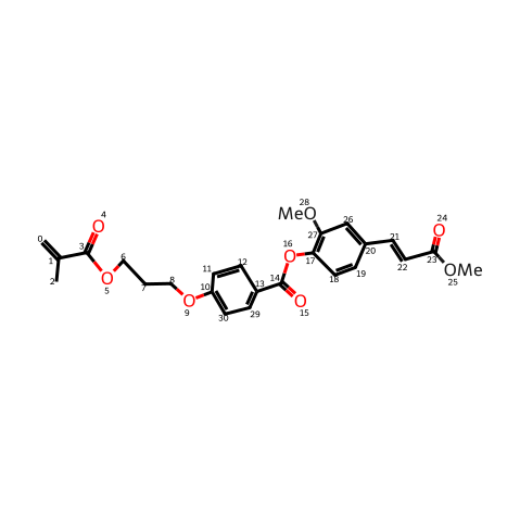 C=C(C)C(=O)OCCCOc1ccc(C(=O)Oc2ccc(C=CC(=O)OC)cc2OC)cc1